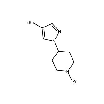 CC(C)N1CCC(n2cc(C(C)(C)C)cn2)CC1